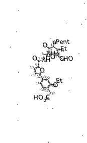 CCCCCC(C(=O)NCNC(=O)c1ccc(-c2ccc(CC(=O)O)c(OCC)c2)o1)C(CC)N(O)C=O